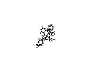 NC1c2ccccc2C(C=NN2CC[S+]([O-])CC2)CC1(CC(=O)O)C(=O)c1ccccc1